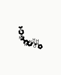 CC(C)N1CCC(n2cc(-c3cnc4ccc(NC(=O)NC5CCCC5)nc4c3)cn2)CC1